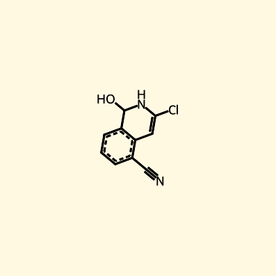 N#Cc1cccc2c1C=C(Cl)NC2O